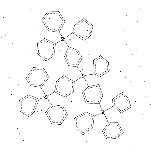 c1ccc([Si](c2ccccc2)(c2ccccc2)c2ccc([Si](c3ccccc3)(c3ccc([Si](c4ccccc4)(c4ccccc4)c4ccccc4)cc3)c3ccc([Si](c4ccccc4)(c4ccccc4)c4ccccc4)cc3)cc2)cc1